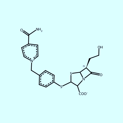 NC(=O)c1cc[n+](Cc2ccc(SC3SC4[C@@H](CCO)C(=O)N4C3C(=O)[O-])cc2)cc1